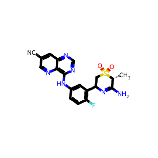 C[C@@H]1C(N)=NC(c2cc(Nc3ncnc4cc(C#N)cnc34)ccc2F)CS1(=O)=O